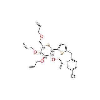 C=CCOC[C@H]1S[C@@H](c2ccc(Cc3ccc(CC)cc3)s2)[C@H](OCC=C)[C@@H](OCC=C)[C@@H]1OCC=C